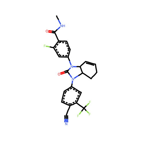 CNC(=O)c1ccc(N2C(=O)N(c3ccc(C#N)c(C(F)(F)F)c3)C3CCC=CC32)cc1F